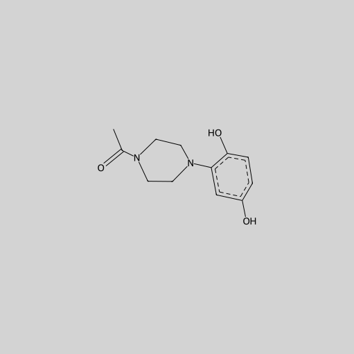 CC(=O)N1CCN(c2cc(O)ccc2O)CC1